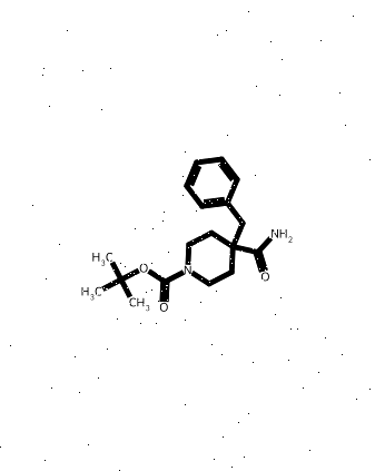 CC(C)(C)OC(=O)N1CCC(Cc2ccccc2)(C(N)=O)CC1